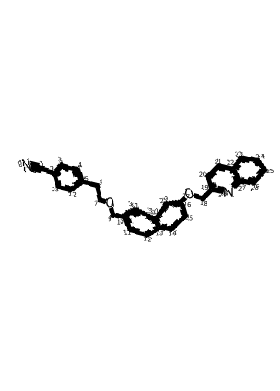 N#Cc1ccc(CCOCc2ccc3ccc(OCc4ccc5ccccc5n4)cc3c2)cc1